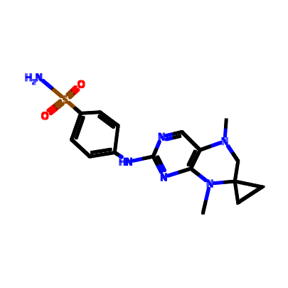 CN1CC2(CC2)N(C)c2nc(Nc3ccc(S(N)(=O)=O)cc3)ncc21